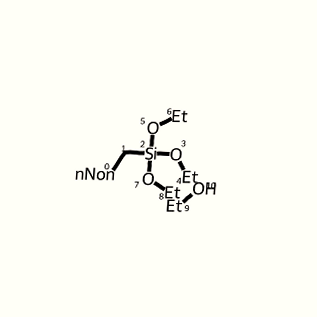 CCCCCCCCCC[Si](OCC)(OCC)OCC.CCO